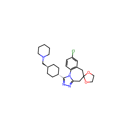 Clc1ccc2c(c1)CC1(Cc3nnc([C@H]4CC[C@H](CN5CCCCC5)CC4)n3-2)OCCO1